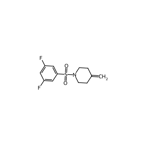 C=C1CCN(S(=O)(=O)c2cc(F)cc(F)c2)CC1